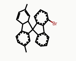 CC1=CC2C(C=C1)c1ccc(C)cc1C21c2ccccc2-c2c(Br)cccc21